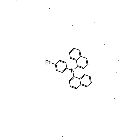 CCc1ccc(N(c2cccc3ccccc23)c2cccc3ccccc23)cc1